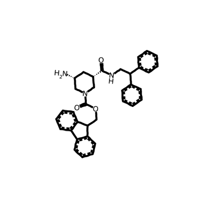 N[C@@H]1C[C@H](C(=O)NCC(c2ccccc2)c2ccccc2)CN(C(=O)OCC2c3ccccc3-c3ccccc32)C1